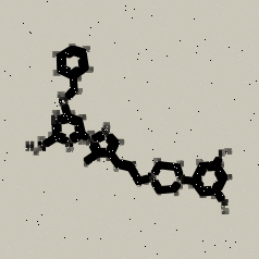 Cc1c(C=CCN2CCN(c3cc(F)cc(F)c3)CC2)cnn1-c1cc(OCc2ccccc2)nc(N)n1